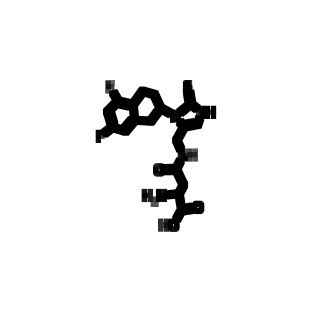 NC(CC(=O)NCc1c[nH]c(=S)n1C1CCc2c(F)cc(F)cc2C1)C(=O)O